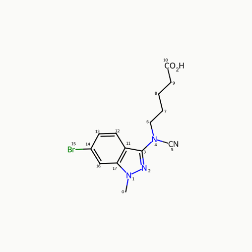 Cn1nc(N(C#N)CCCCC(=O)O)c2ccc(Br)cc21